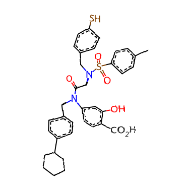 Cc1ccc(S(=O)(=O)N(CC(=O)N(Cc2ccc(C3CCCCC3)cc2)c2ccc(C(=O)O)c(O)c2)Cc2ccc(S)cc2)cc1